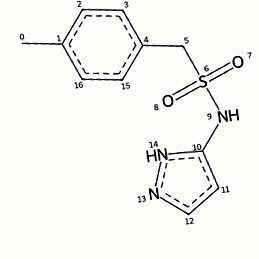 Cc1ccc(CS(=O)(=O)Nc2ccn[nH]2)cc1